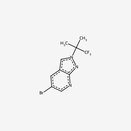 CC(C)(n1cc2cc(Br)cnc2n1)C(F)(F)F